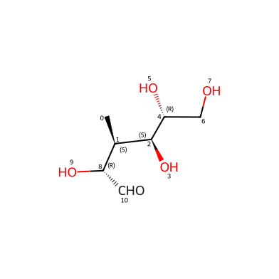 C[C@@H]([C@H](O)[C@H](O)CO)[C@@H](O)C=O